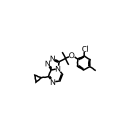 Cc1ccc(OC(C)(C)c2nnc3c(C4CC4)nccn23)c(Cl)c1